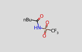 CCCCC(=O)NS(=O)(=O)C(F)(F)F